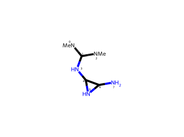 CNC(NC)NC1NC1N